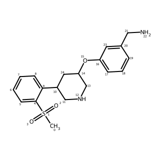 CS(=O)(=O)c1ccccc1C1CNCC(Oc2cccc(CN)c2)C1